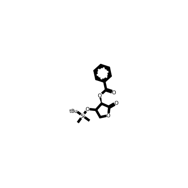 CC(C)(C)[Si](C)(C)OC1COC(=O)[C@@H]1OC(=O)c1ccccc1